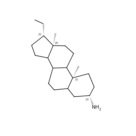 CC[C@H]1CCC2C3CCC4C[C@@H](N)CC[C@]4(C)C3CC[C@@]21C